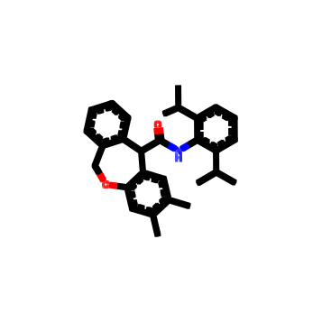 Cc1cc2c(cc1C)C(C(=O)Nc1c(C(C)C)cccc1C(C)C)c1ccccc1CO2